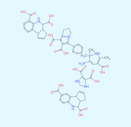 CC1=C(C(=O)O)C=C(N)C(C)(C)N1.O=C(O)C1=C(C(=O)O)NCN1.O=C(O)c1c(C(=O)O)c(-c2ccccc2)n2c1CCC2.O=C(O)c1ccc2c(c1)C1C=CCC1C(C(=O)O)N2.O=C(O)c1cccc2c1NC(C(=O)O)C1CC=CC21